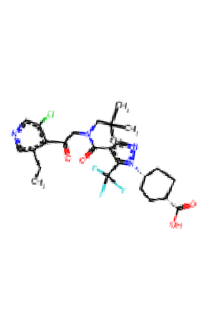 CCc1cncc(Cl)c1C(=O)CN(CC(C)(C)C)C(=O)c1cnn([C@H]2CC[C@@H](C(=O)O)CC2)c1C(F)(F)F